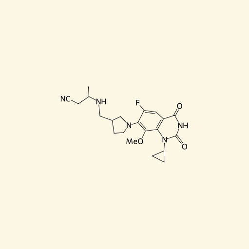 COc1c(N2CCC(CNC(C)CC#N)C2)c(F)cc2c(=O)[nH]c(=O)n(C3CC3)c12